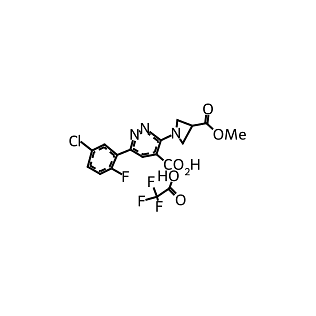 COC(=O)C1CN(c2nnc(-c3cc(Cl)ccc3F)cc2C(=O)O)C1.O=C(O)C(F)(F)F